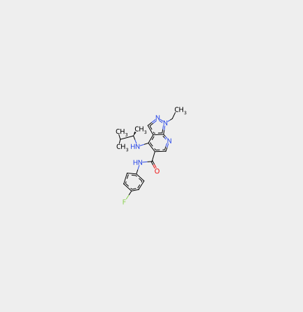 CCn1ncc2c(N[C@H](C)C(C)C)c(C(=O)Nc3ccc(F)cc3)cnc21